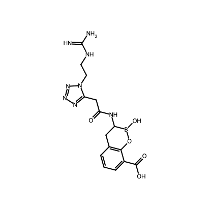 N=C(N)NCCn1nnnc1CC(=O)NC1Cc2cccc(C(=O)O)c2OB1O